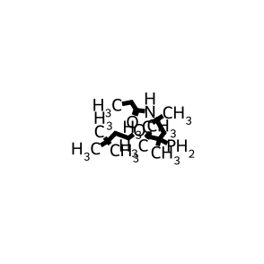 CCC(=O)NC(C)(C)CC(C)(P)C(C)(C)OCCC(C)(C)C